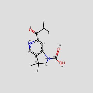 CC(C)C(=O)c1cc2c(cn1)C(C)(C)CN2C(=O)O